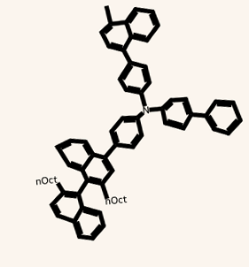 CCCCCCCCc1ccc2ccccc2c1-c1c(CCCCCCCC)cc(-c2ccc(N(c3ccc(-c4ccccc4)cc3)c3ccc(-c4ccc(C)c5ccccc45)cc3)cc2)c2ccccc12